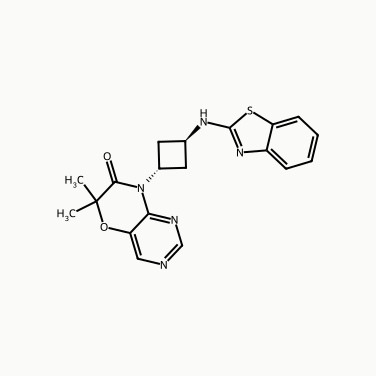 CC1(C)Oc2cncnc2N([C@H]2C[C@H](Nc3nc4ccccc4s3)C2)C1=O